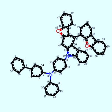 c1ccc(-c2ccc(N(c3ccccc3)c3ccc(-n4c5ccccc5c5c(-c6cccc7c6oc6ccccc67)c6c(cc54)oc4ccccc46)cc3)cc2)cc1